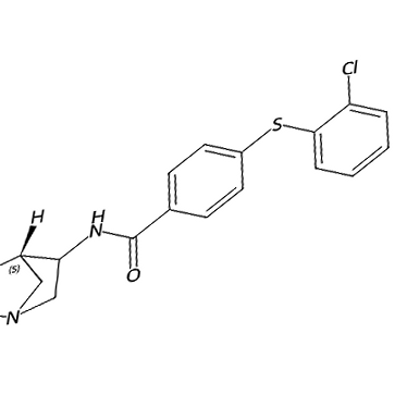 O=C(NC1CN2CC[C@H]1C2)c1ccc(Sc2ccccc2Cl)cc1